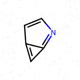 c1cc2cc-2n1